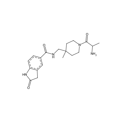 CC(N)C(=O)N1CCC(C)(CNC(=O)c2ccc3c(c2)CC(=O)N3)CC1